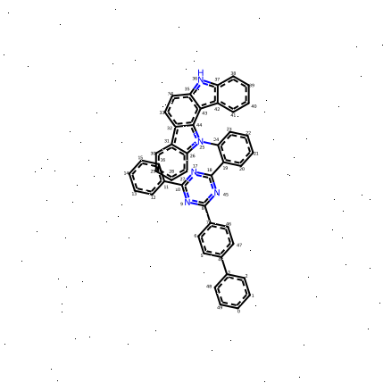 c1ccc(-c2ccc(-c3nc(-c4ccccc4)nc(-c4ccccc4-n4c5ccccc5c5ccc6[nH]c7ccccc7c6c54)n3)cc2)cc1